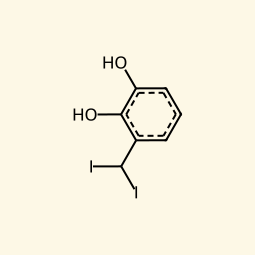 Oc1cccc(C(I)I)c1O